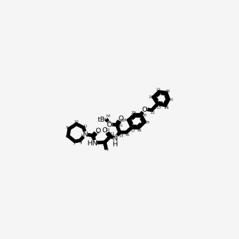 CC(NC(=O)N1CCCCCC1)C(=O)NC(Cc1ccc(OCc2ccccc2)cc1)C(=O)OC(C)(C)C